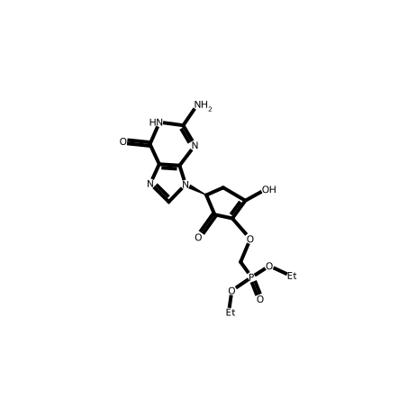 CCOP(=O)(COC1=C(O)C[C@H](n2cnc3c(=O)[nH]c(N)nc32)C1=O)OCC